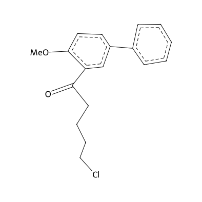 COc1ccc(-c2ccccc2)cc1C(=O)CCCCCl